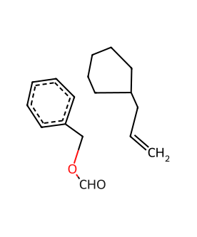 C=CCC1CCCCC1.O=COCc1ccccc1